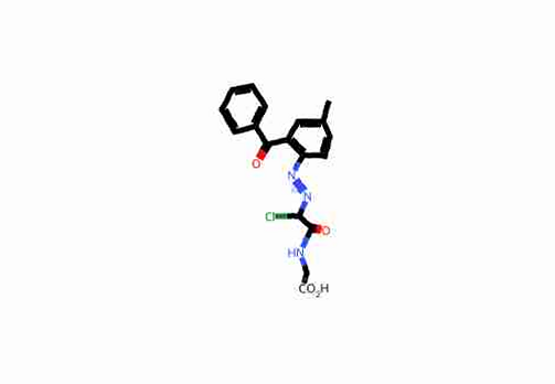 Cc1ccc(/N=N/C(Cl)C(=O)NCC(=O)O)c(C(=O)c2ccccc2)c1